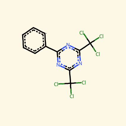 ClC(Cl)(Cl)c1nc(-c2[c]cccc2)nc(C(Cl)(Cl)Cl)n1